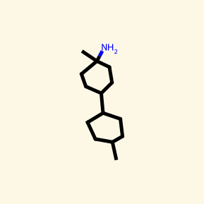 CC1CCC(C2CCC(C)(N)CC2)CC1